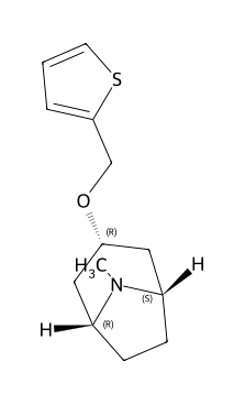 CN1[C@@H]2CC[C@H]1C[C@@H](OCc1cccs1)C2